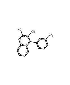 N#Cc1cc2ccccc2c(-c2cccc(C(F)(F)F)c2)c1C#N